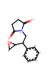 O=C1CCC(=O)N1CC(c1ccccc1)C1CO1